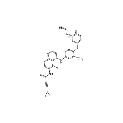 Cc1cc(Nc2ncnc3ccc(NC(=O)C#CC4CC4)c(F)c23)ccc1Cc1cc[nH]/c(=N\C=N)c1